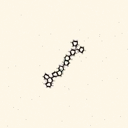 C1=CC2C(c3ccc4c(c3)CCC3CC(c5ccc6c(c5)CCC(c5ccc(N(c7ccccc7)c7ccccc7)cc5)=C6)CC=C43)=Cc3ccccc3C2C=C1